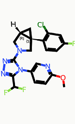 COc1ccc(-n2c(C(F)F)nnc2N2C[C@@H]3C[C@]3(c3ccc(F)cc3Cl)C2)cn1